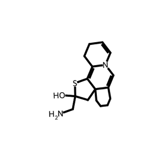 NCC1(O)CC23CCCCC2=CN2C=CCCC2=C3S1